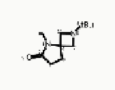 CN1C(=O)CCC12CN(C(C)(C)C)C2